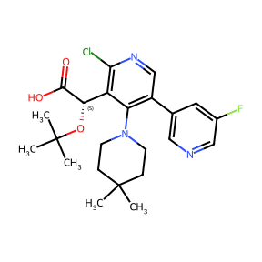 CC1(C)CCN(c2c(-c3cncc(F)c3)cnc(Cl)c2[C@H](OC(C)(C)C)C(=O)O)CC1